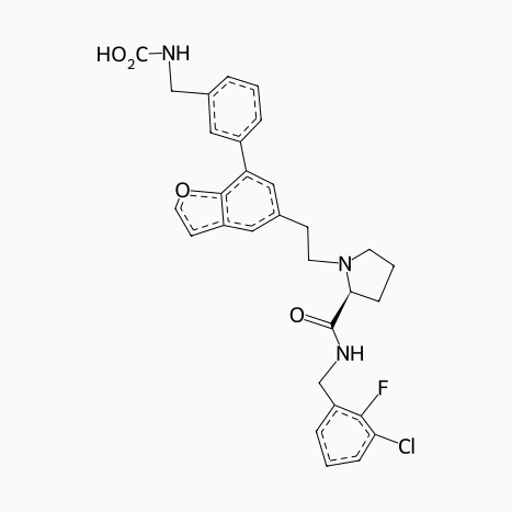 O=C(O)NCc1cccc(-c2cc(CCN3CCC[C@H]3C(=O)NCc3cccc(Cl)c3F)cc3ccoc23)c1